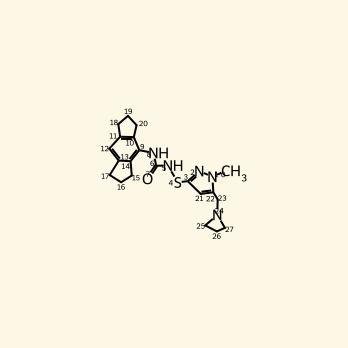 Cn1nc(SNC(=O)Nc2c3c(cc4c2CCC4)CCC3)cc1CN1CCC1